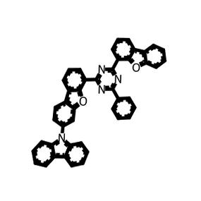 c1ccc(-c2nc(-c3cccc4c3oc3ccccc34)nc(-c3cccc4c3oc3cc(-n5c6ccccc6c6ccccc65)ccc34)n2)cc1